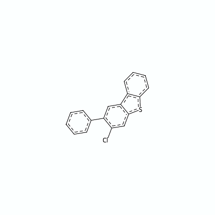 Clc1cc2sc3ccccc3c2cc1-c1ccccc1